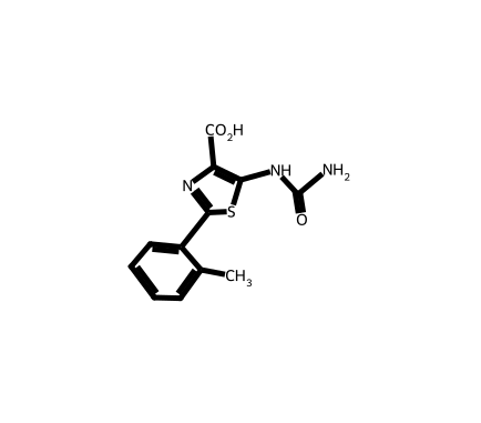 Cc1ccccc1-c1nc(C(=O)O)c(NC(N)=O)s1